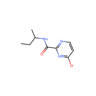 CCC(C)NC(=O)c1nccc([O])n1